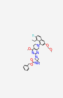 CCc1c(F)ccc2cc(OCOC)cc(N3CCc4c(nc(N5CC(C)(NC(=O)OCc6ccccc6)C5)nc4OC)C3)c12